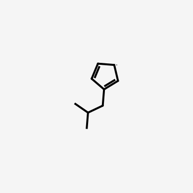 CC(C)CC1=C[CH]C=C1